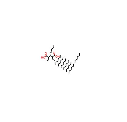 CCCCCC.CCCCCC.CCCCCC.CCCCCC.CCCCCC.CCCCCC.CCCCCC.CCCCCC(C(CC)C(=O)O)C(CC)C(=O)O